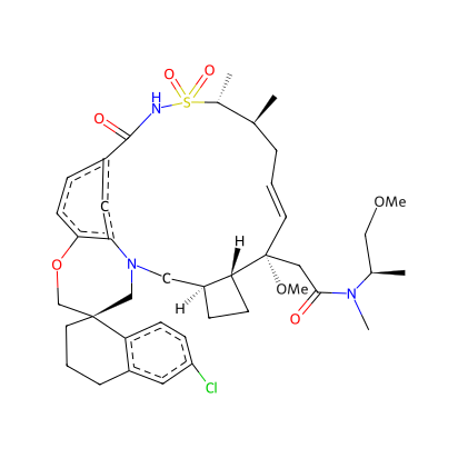 COC[C@@H](C)N(C)C(=O)C[C@]1(OC)/C=C/C[C@H](C)[C@@H](C)S(=O)(=O)NC(=O)c2ccc3c(c2)N(C[C@@H]2CC[C@H]21)C[C@@]1(CCCc2cc(Cl)ccc21)CO3